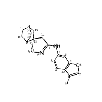 Cc1coc2cc(NC3=NO[C@@]4(C3)CN3CCC4CC3)ccc12